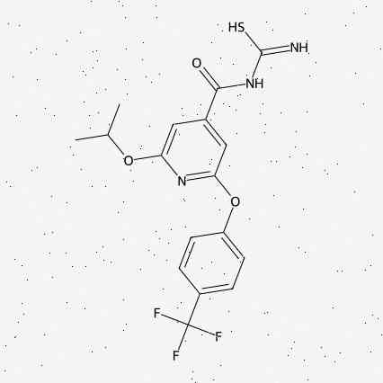 CC(C)Oc1cc(C(=O)NC(=N)S)cc(Oc2ccc(C(F)(F)F)cc2)n1